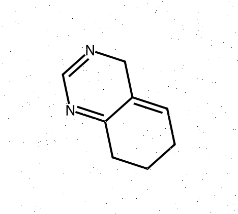 C1=NCC2=CCCCC2=N1